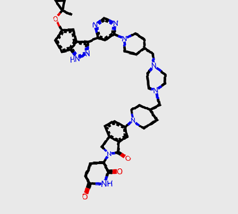 CC1(Oc2ccc3[nH]nc(-c4cc(N5CCC(CN6CCN(CC7CCN(c8ccc9c(c8)C(=O)N(C8CCC(=O)NC8=O)C9)CC7)CC6)CC5)ncn4)c3c2)CC1